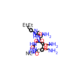 CCC(CC)Cc1ccc(-c2nc(C)c(C(=O)NC(CCN)C(=O)N(C)C3C(=O)NC(C)C(=O)NC(C(=O)NCC#N)Cc4ccc(OCCN)c(c4)-c4cc3ccc4OCCN)c(C)n2)cc1